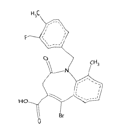 Cc1ccc(CN2C(=O)CC(C(=O)O)=C(Br)c3cccc(C)c32)cc1F